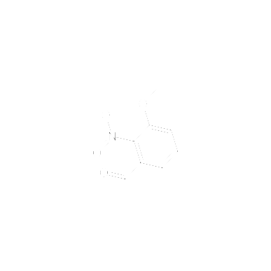 COc1cccc([C]=O)c1[N+](=O)[O-]